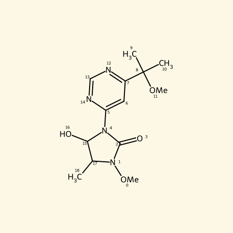 CON1C(=O)N(c2cc(C(C)(C)OC)ncn2)C(O)C1C